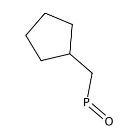 O=PCC1CCCC1